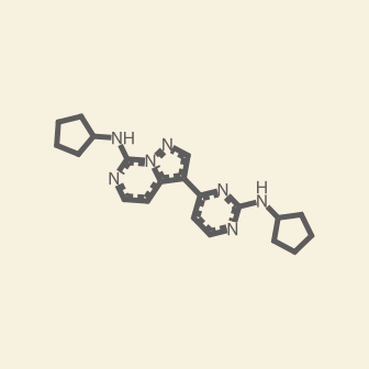 c1cc(-c2cnn3c(NC4CCCC4)nccc23)nc(NC2CCCC2)n1